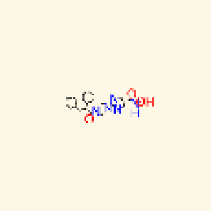 O=C(NO)c1cnc(N2CCN(C(=O)C(=Cc3ccccc3)c3ccccc3)CC2)nc1